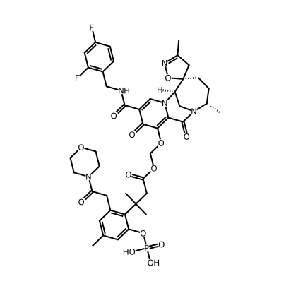 CC1=NO[C@@]2(CC[C@H](C)N3C[C@H]2n2cc(C(=O)NCc4ccc(F)cc4F)c(=O)c(OCOC(=O)CC(C)(C)c4c(CC(=O)N5CCOCC5)cc(C)cc4OP(=O)(O)O)c2C3=O)C1